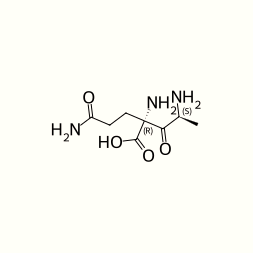 C[C@H](N)C(=O)[C@](N)(CCC(N)=O)C(=O)O